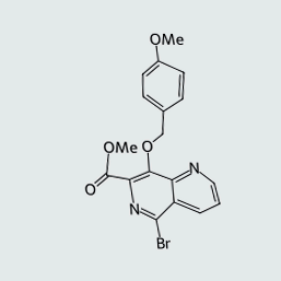 COC(=O)c1nc(Br)c2cccnc2c1OCc1ccc(OC)cc1